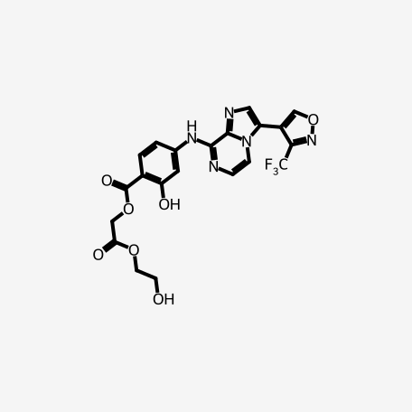 O=C(COC(=O)c1ccc(Nc2nccn3c(-c4conc4C(F)(F)F)cnc23)cc1O)OCCO